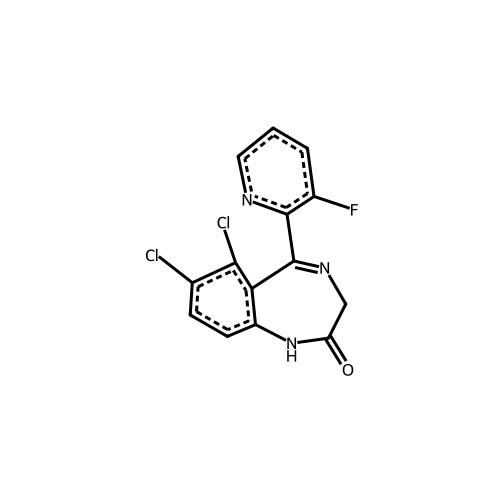 O=C1CN=C(c2ncccc2F)c2c(ccc(Cl)c2Cl)N1